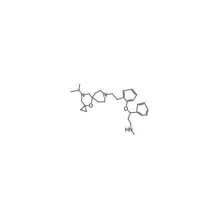 CNCCC(Oc1ccccc1CCN1CCC2(CC1)CN(C(C)C)CC1(CC1)O2)c1ccccc1